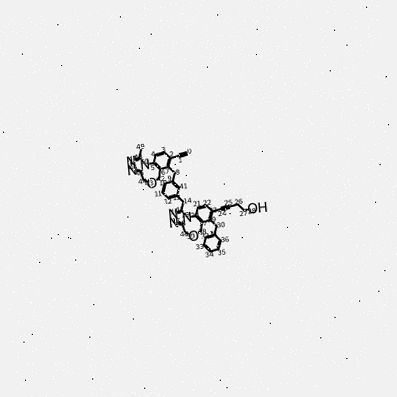 C#Cc1ccc2c(c1Cc1cccc(Cc3nnc4n3-c3ccc(C#CCCO)c(Cc5ccccc5)c3COC4)c1)COCc1nnc(C)n1-2